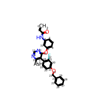 C=CC(=O)Nc1cccc(Oc2ncnc([AsH2])c2-c2ccc(OCc3ccccc3)cc2F)c1